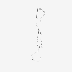 CC1CC(c2ncc3nc(COc4ccccc4)cc-3[nH]2)CCN1